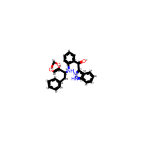 O=C(c1ccccc1NC(Cc1ccccc1)C1=COCO1)c1n[nH]c2ccccc12